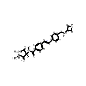 CNC(=O)[C@@](C)(C(=O)NO)N(C)C(=O)c1ccc(/C=C/c2ccc(CNC3COC3)cc2)cc1